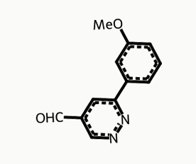 COc1cccc(-c2cc(C=O)cnn2)c1